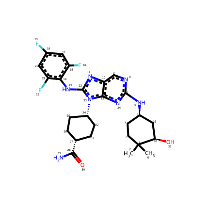 CC1(C)CC[C@@H](Nc2ncc3nc(Nc4c(F)cc(F)cc4F)n([C@H]4CC[C@@H](C(N)=O)CC4)c3n2)C[C@H]1O